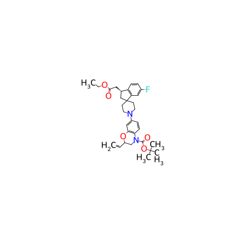 C=CC1CN(C(=O)OC(C)(C)C)c2ccc(N3CCC4(CC3)C[C@@H](CC(=O)OCC)c3ccc(F)cc34)cc2O1